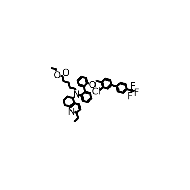 CCOC(=O)CCCCN(c1ccccc1-c1ccccc1OCc1ccc(-c2ccc(C(F)(F)F)cc2)cc1Cl)C1CCCc2nc(CC)ccc21